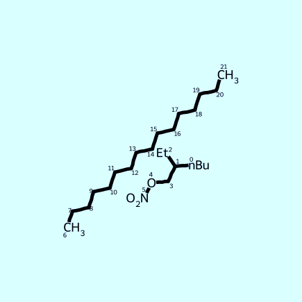 CCCCC(CC)CO[N+](=O)[O-].CCCCCCCCCCCCCCCC